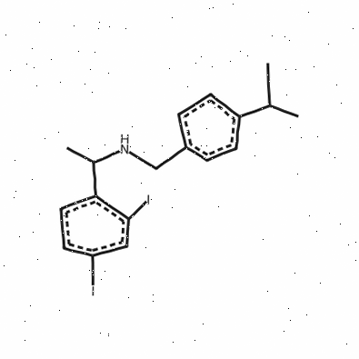 CC(C)c1ccc(CNC(C)c2ccc(I)cc2I)cc1